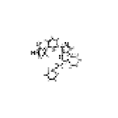 O=C(COc1ccccc1)N1CCCCC1c1nc(-c2cccc(-n3cn[nH]c3=O)c2)no1